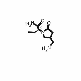 CC[C@@H](C(N)=O)N1CC(CN)CC1=O